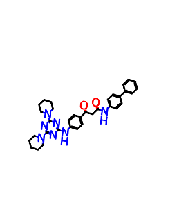 O=C(CC(=O)c1ccc(Nc2nc(N3CCCCC3)nc(N3CCCCC3)n2)cc1)Nc1ccc(-c2ccccc2)cc1